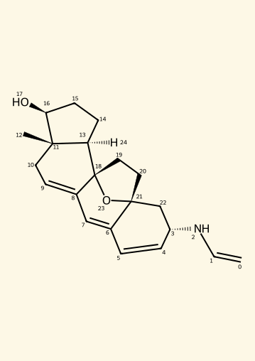 C=CN[C@@H]1C=CC2=CC3=CC[C@@]4(C)[C@@H](CC[C@@H]4O)[C@@]34CC[C@]2(C1)O4